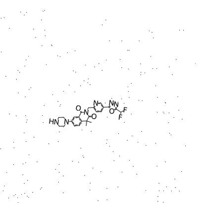 CC1(C)C(=O)N(Cc2ccc(-c3nnc(C(F)F)o3)cn2)C(=O)c2cc(N3CCNCC3)ccc21